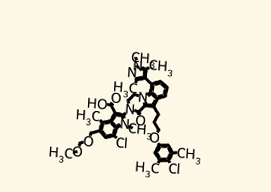 COCOCc1cc(Cl)c2c(c1C)c(C(=O)O)c(N1CCn3c(c(CCCOc4cc(C)c(Cl)c(C)c4)c4cccc(-c5c(C)nn(C)c5C)c43)C1=O)n2C